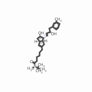 Cc1cccc(C[C@@H](O)/C=C/[C@@H]2[C@H]3CC(CCCCCC(=O)N(C)C(C)(C)C)=C[C@H]3C[C@H]2O)c1